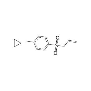 C1CC1.C=CCS(=O)(=O)c1ccc(C)cc1